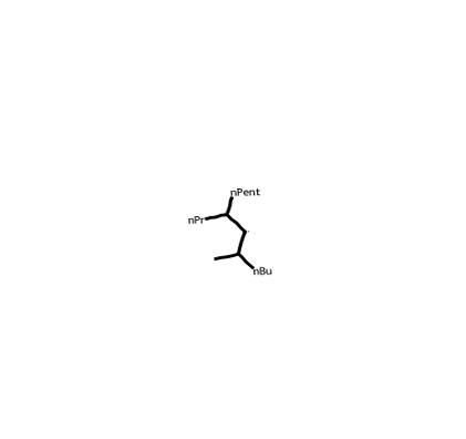 CCCCCC([CH]C(C)CCCC)CCC